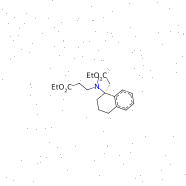 CCOC(=O)CCN(C)[C@]1(CC(=O)OCC)CCCc2ccccc21